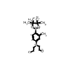 Cc1cc(N(CCCl)CCCl)ccc1B1OC(C)(C)C(C)(C)O1